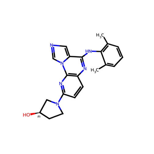 Cc1cccc(C)c1Nc1nc2ccc(N3CC[C@@H](O)C3)nc2n2cncc12